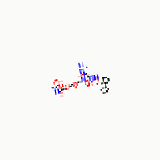 CC(C(=O)O)N(C)C(=O)CCOCCOCCNC(=O)C(CC(N)=O)NC(=O)OCC1c2ccccc2-c2ccccc21